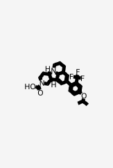 CC(C)Oc1ccc(C2=CC3CCCN4C3C(=C2)[C@@H]2CN(C(=O)O)CC[C@@H]24)c(C(F)(F)F)c1